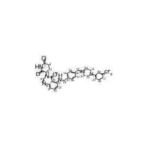 O=C1CCC(n2cnc3cccc(NCc4ccc(CN5CCN(c6cccc(C(F)(F)F)c6)CC5)cc4)c3c2=O)C(=O)N1